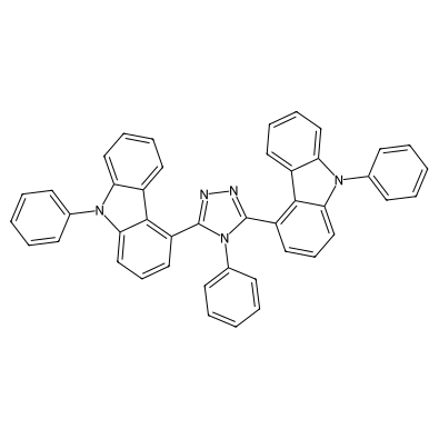 c1ccc(-n2c(-c3cccc4c3c3ccccc3n4-c3ccccc3)nnc2-c2cccc3c2c2ccccc2n3-c2ccccc2)cc1